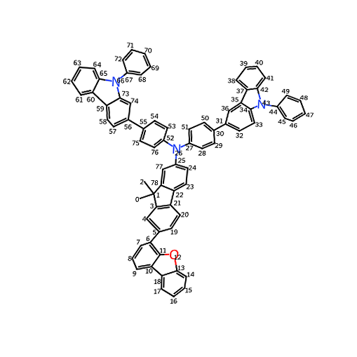 CC1(C)c2cc(-c3cccc4c3oc3ccccc34)ccc2-c2ccc(N(c3ccc(-c4ccc5c(c4)c4ccccc4n5-c4ccccc4)cc3)c3ccc(-c4ccc5c6ccccc6n(-c6ccccc6)c5c4)cc3)cc21